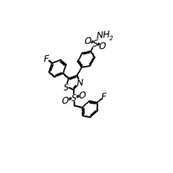 NS(=O)(=O)c1ccc(-c2nc(S(=O)(=O)Cc3cccc(F)c3)sc2-c2ccc(F)cc2)cc1